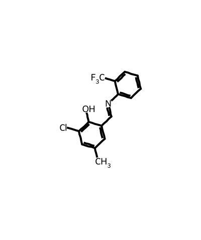 Cc1cc(Cl)c(O)c(/C=N/c2ccccc2C(F)(F)F)c1